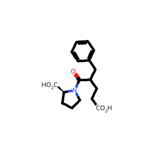 O=C(O)CCC(Cc1ccccc1)C(=O)N1CCC[C@H]1C(=O)O